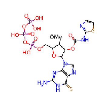 COC1C(COP(=O)(O)OP(=O)(O)OP(=O)(O)O)OC(n2cnc3c(=S)[nH]c(N)nc32)C1OC(=O)Nc1nccs1